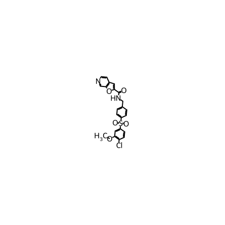 COc1cc(S(=O)(=O)c2ccc(CNC(=O)c3cc4ccncc4o3)cc2)ccc1Cl